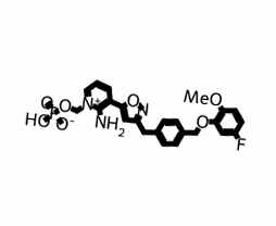 COc1ccc(F)cc1OCc1ccc(Cc2cc(-c3ccc[n+](COP(=O)([O-])O)c3N)on2)cc1